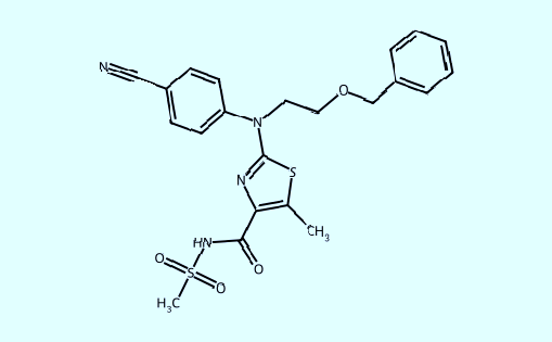 Cc1sc(N(CCOCc2ccccc2)c2ccc(C#N)cc2)nc1C(=O)NS(C)(=O)=O